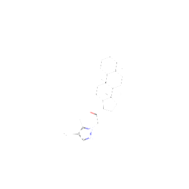 Cc1c(C#N)cnn1CC(=O)[C@H]1CC[C@H]2[C@@H]3CC[C@@H]4C[C@@H](C)CC[C@]4(F)[C@H]3CC[C@]12C